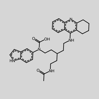 CC(=O)NCCC(CCNc1c2c(nc3ccccc13)CCCC2)CCN(C(=O)O)c1ccc2[nH]ccc2c1